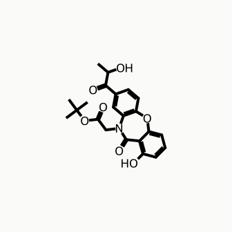 CC(O)C(=O)c1ccc2c(c1)N(CC(=O)OC(C)(C)C)C(=O)c1c(O)cccc1O2